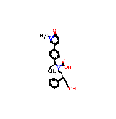 CC[C@@H](c1ccc(-c2ccc(=O)n(C)c2)cc1)N(CC[C@H](CCO)c1ccccc1)C(=O)O